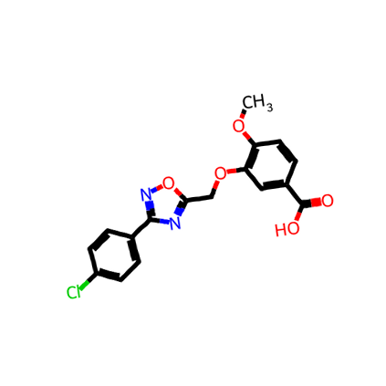 COc1ccc(C(=O)O)cc1OCc1nc(-c2ccc(Cl)cc2)no1